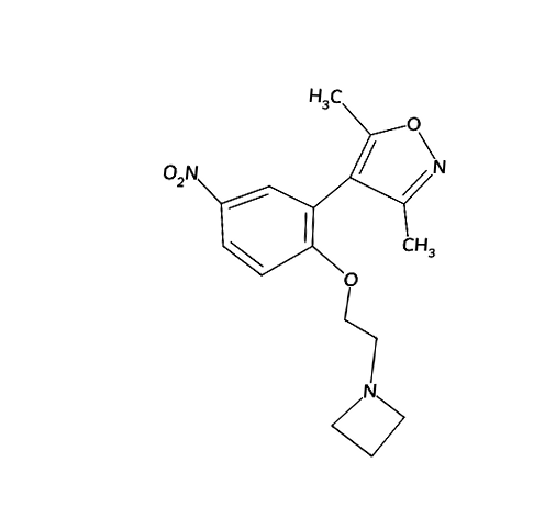 Cc1noc(C)c1-c1cc([N+](=O)[O-])ccc1OCCN1CCC1